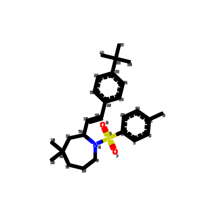 Cc1ccc(S(=O)(=O)N2CCCC(C)(C)CC2/C=C/c2ccc(C(C)(C)C)cc2)cc1